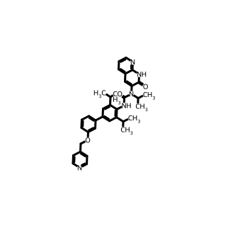 CC(C)c1cc(-c2cccc(OCc3ccncc3)c2)cc(C(C)C)c1NC(=O)N(c1cc2cccnc2[nH]c1=O)C(C)C